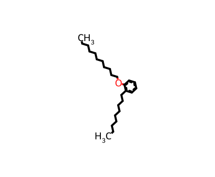 CCCCCCCCCCCOc1ccccc1CCCCCCCCC